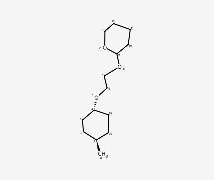 C[C@H]1CC[C@H](OCCOC2CCCCO2)CC1